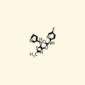 Cc1nc(OC(=O)Nc2ccc(F)cn2)c(Nc2cccnc2)s1